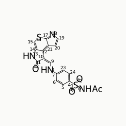 CC(=O)NS(=O)(=O)c1ccc(NC=c2c(=O)[nH]c3csc4nccc4c23)cc1